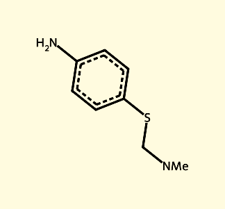 CNCSc1ccc(N)cc1